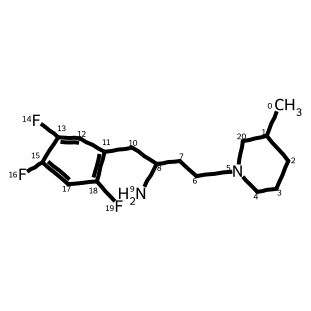 CC1CCCN(CCC(N)Cc2cc(F)c(F)cc2F)C1